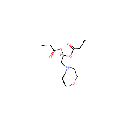 CCC(=O)O[SiH](CN1CCOCC1)OC(=O)CC